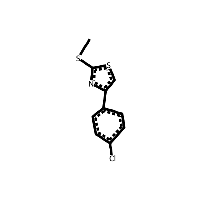 CSc1nc(-c2ccc(Cl)cc2)cs1